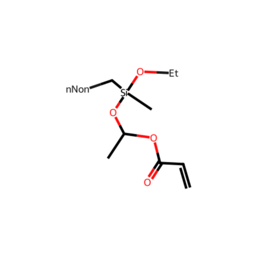 C=CC(=O)OC(C)O[Si](C)(CCCCCCCCCC)OCC